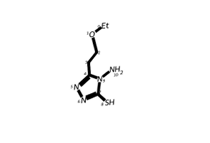 CCOCCc1nnc(S)n1N